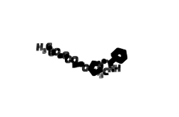 CN[C@H](CN1CCC(OCCOOOCOOC)C1)c1ccccc1